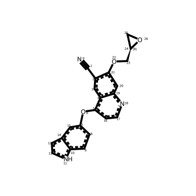 N#Cc1cc2c(Oc3ccc4[nH]ccc4c3)ccnc2cc1OC[C@H]1CO1